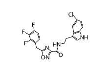 O=C(NCCc1c[nH]c2ccc(Cl)cc12)c1noc(Cc2ccc(F)c(F)c2F)n1